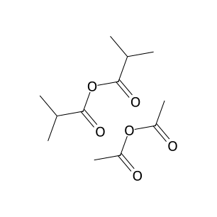 CC(=O)OC(C)=O.CC(C)C(=O)OC(=O)C(C)C